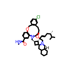 CNC(=O)c1ccc2c(c1)N(C[C@@H]1CC[C@H]1C(/C=C/C[C@H](C)C(C)C)(CN1CCC3CCCC[C@H]3C1)OC)CCCCc1cc(Cl)ccc1CO2